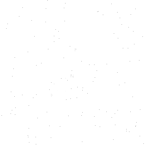 O=C(O)Oc1cc(-c2ccccc2)n(-c2ccc(Cl)cc2)n1